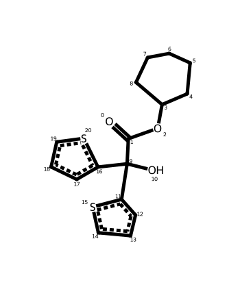 O=C(OC1CCCCC1)C(O)(c1cccs1)c1cccs1